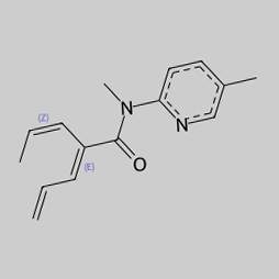 C=C/C=C(\C=C/C)C(=O)N(C)c1ccc(C)cn1